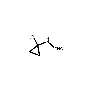 NC1(NC=O)CC1